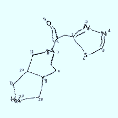 O=C(c1nncs1)N1CC2CNCC2C1